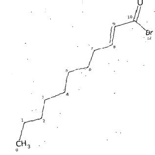 CCCCCCCCC=CC(=O)Br